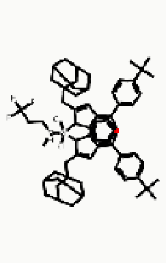 C[SiH](CCC(F)(F)F)[Zr]([Cl])([Cl])([CH]1C(CC23CC4CC(CC(C4)C2)C3)=Cc2c(-c3ccc(C(C)(C)C)cc3)cccc21)[CH]1C(CC23CC4CC(CC(C4)C2)C3)=Cc2c(-c3ccc(C(C)(C)C)cc3)cccc21